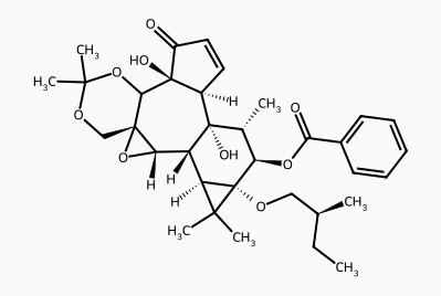 CC[C@H](C)CO[C@@]12[C@H](OC(=O)c3ccccc3)[C@@H](C)[C@@]3(O)[C@H]([C@@H]1C2(C)C)[C@@H]1O[C@@]12COC(C)(C)OC2[C@]1(O)C(=O)C=C[C@@H]31